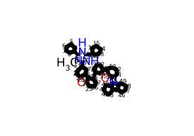 CN1C(c2ccccc2)NC(c2ccccc2)NC1c1ccc2oc3cccc(-c4cccc5c4oc4c(-n6c7ccccc7c7ccccc76)cccc45)c3c2c1